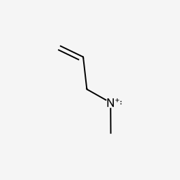 C=CC[N+]C